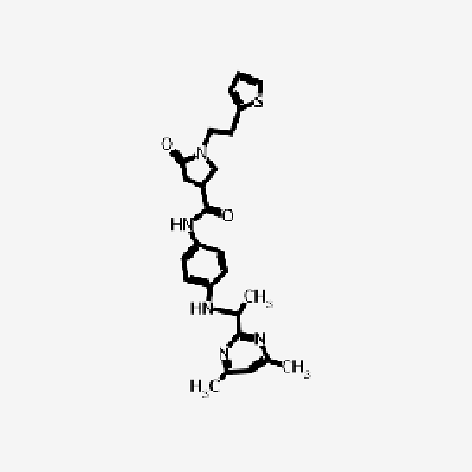 Cc1cc(C)nc(C(C)Nc2ccc(NC(=O)C3CC(=O)N(CCc4cccs4)C3)cc2)n1